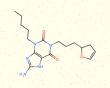 CCCCCn1c(=O)n(CCCC2CC=CO2)c(=O)c2[nH]c(N)nc21